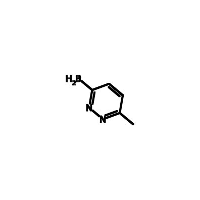 Bc1ccc(C)nn1